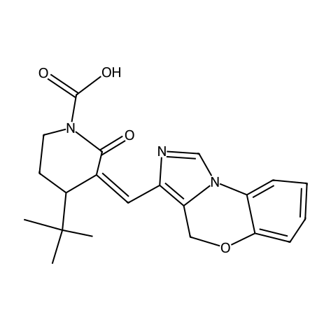 CC(C)(C)C1CCN(C(=O)O)C(=O)C1=Cc1ncn2c1COc1ccccc1-2